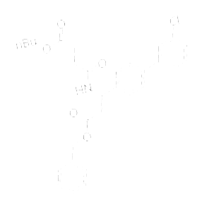 CCCCOC(=O)CCC(=O)NC(CC(=O)OCc1ccccc1)c1ccc(-c2cccc(Cl)c2)cc1